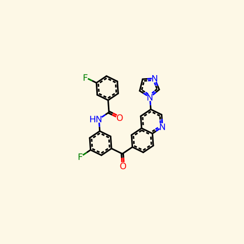 O=C(Nc1cc(F)cc(C(=O)c2ccc3ncc(-n4ccnc4)cc3c2)c1)c1cccc(F)c1